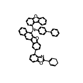 C1=CC(c2nc3c(-c4ccc5oc6c(N(c7ccc(-c8ccccc8)cc7)c7cccc8oc9ccccc9c78)c7ccccc7cc6c5c4)cccc3o2)=CCC1